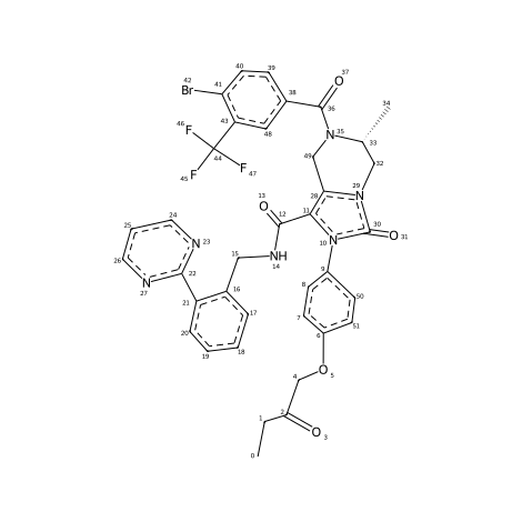 CCC(=O)COc1ccc(-n2c(C(=O)NCc3ccccc3-c3ncccn3)c3n(c2=O)C[C@@H](C)N(C(=O)c2ccc(Br)c(C(F)(F)F)c2)C3)cc1